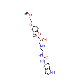 CCCOCCOc1ccc(OCC(O)CNCCNC(=O)Nc2ccc3[nH]ccc3c2)c(C#N)c1